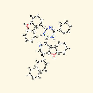 c1ccc(-c2nc(-c3cccc4oc5ccccc5c34)nc(-c3ncc(-c4ccc5ccccc5c4)c4oc5ccccc5c34)n2)cc1